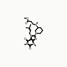 COC(=O)CCN(C)C1CCCN(c2nc3c(c(=O)n(C)c(=O)n3C)n2CC=C(C)C)C1